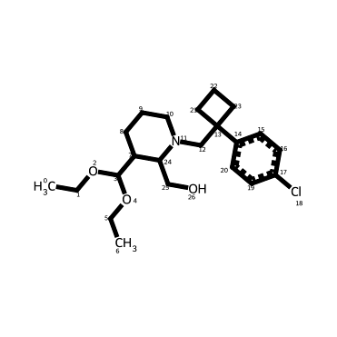 CCOC(OCC)C1CCCN(CC2(c3ccc(Cl)cc3)CCC2)C1CO